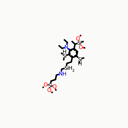 CCN(CC)c1c(C(C)[Si](C)(OC)OC)cc([SiH](C)C)c(CC[SiH2]CNCCC[Si](OC)(OC)OC)c1[SiH](C)C